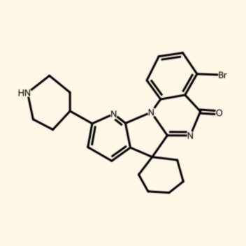 O=c1nc2n(c3cccc(Br)c13)-c1nc(C3CCNCC3)ccc1C21CCCCC1